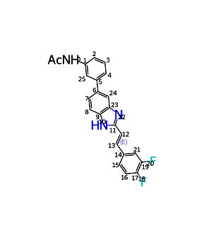 CC(=O)Nc1cccc(-c2ccc3[nH]c(/C=C/c4ccc(F)c(F)c4)nc3c2)c1